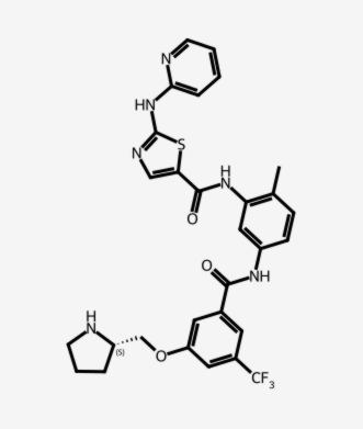 Cc1ccc(NC(=O)c2cc(OC[C@@H]3CCCN3)cc(C(F)(F)F)c2)cc1NC(=O)c1cnc(Nc2ccccn2)s1